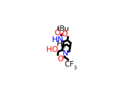 CC(O)C1[C@H]2CC(CC(C)C2NC(=O)OC(C)(C)C)CN1C(=O)CC(F)(F)F